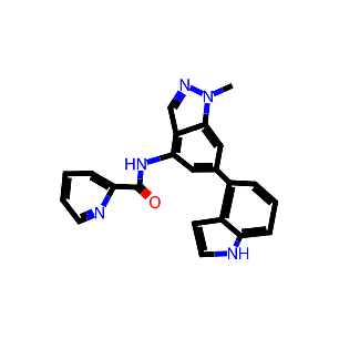 Cn1ncc2c(NC(=O)c3ccccn3)cc(-c3cccc4[nH]ccc34)cc21